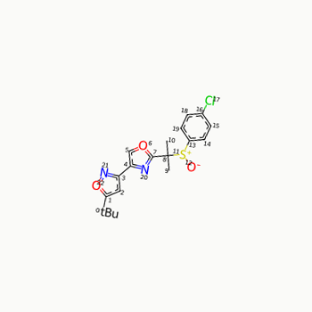 CC(C)(C)c1cc(-c2coc(C(C)(C)[S+]([O-])c3ccc(Cl)cc3)n2)no1